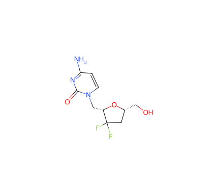 Nc1ccn(C[C@@H]2O[C@H](CO)CC2(F)F)c(=O)n1